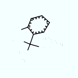 N.N.N.N.O=S(=O)(O)c1ccccc1C(S(=O)(=O)O)(S(=O)(=O)O)S(=O)(=O)O